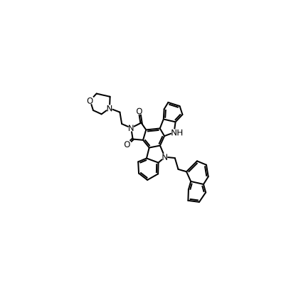 O=C1c2c(c3c4ccccc4n(CCc4cccc5ccccc45)c3c3[nH]c4ccccc4c23)C(=O)N1CCN1CCOCC1